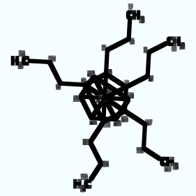 CCC[C]12[C]3(CCC)[C]4(CCC)[C]5(CCC)[C]1(CCC)[Fe]23451678[CH]2[CH]1[CH]6[CH]7[CH]28